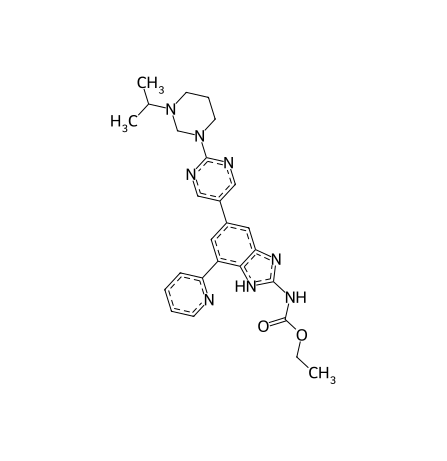 CCOC(=O)Nc1nc2cc(-c3cnc(N4CCCN(C(C)C)C4)nc3)cc(-c3ccccn3)c2[nH]1